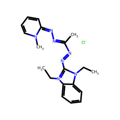 CCn1c(N=NC(C)=NN=c2ccccn2C)[n+](CC)c2ccccc21.[Cl-]